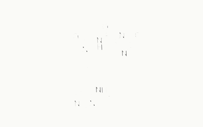 Cc1nc(C)c(CCC2CCN(C(=O)[C@H](C)NC(=O)c3cncc(Cl)n3)CC2)c(N)n1